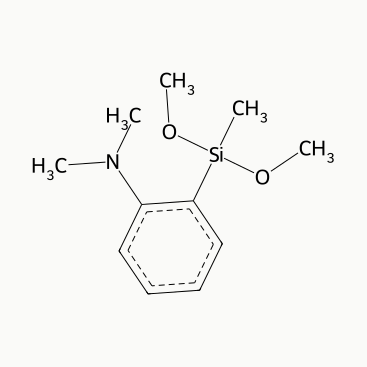 CO[Si](C)(OC)c1ccccc1N(C)C